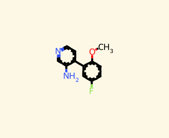 COc1ccc(F)cc1-c1ccncc1N